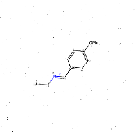 CCC(C)C/N=C/c1ccc(OC)cc1